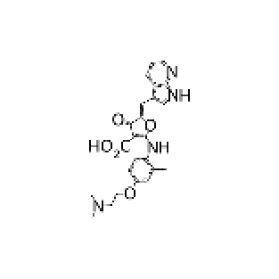 Cc1cc(OCCN(C)C)ccc1NC1=C(C(=O)O)C(=O)/C(=C/c2c[nH]c3ncccc23)O1